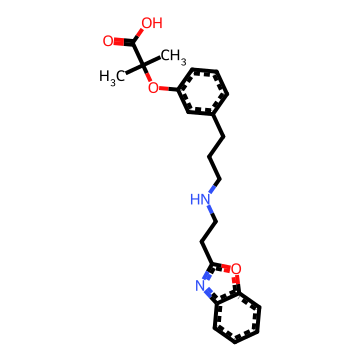 CC(C)(Oc1cccc(CCCNCCc2nc3ccccc3o2)c1)C(=O)O